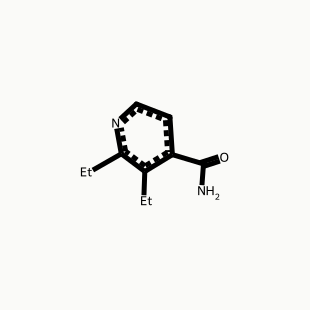 CCc1nccc(C(N)=O)c1CC